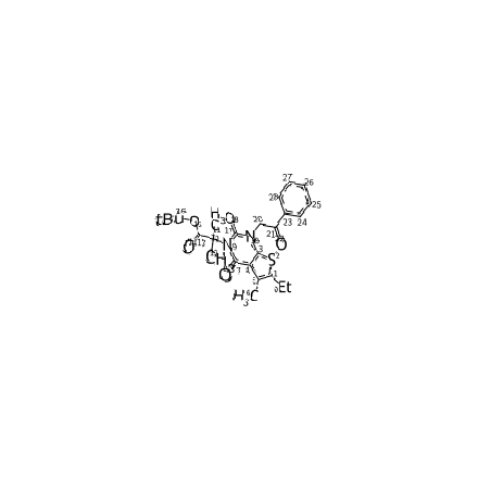 CCc1sc2c(c1C)c(=O)n(C(C)(C)C(=O)OC(C)(C)C)c(=O)n2CC(=O)c1ccccc1